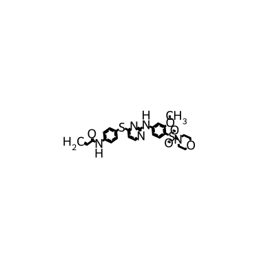 C=CC(=O)Nc1ccc(Sc2ccnc(Nc3ccc(S(=O)(=O)N4CCOCC4)c(OC)c3)n2)cc1